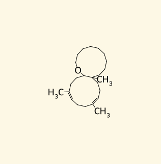 CC1=CCCC2(C)CCCCCCCCCOC2CCC(C)=CCC1